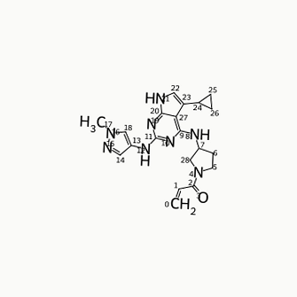 C=CC(=O)N1CCC(Nc2nc(Nc3cnn(C)c3)nc3[nH]cc(C4CC4)c23)C1